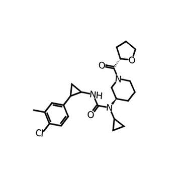 Cc1cc(C2CC2NC(=O)N(C2CC2)[C@@H]2CCCN(C(=O)[C@@H]3CCCO3)C2)ccc1Cl